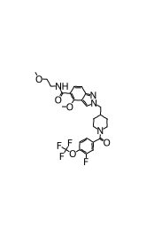 COCCNC(=O)c1ccc2nn(CC3CCN(C(=O)c4ccc(OC(F)(F)F)c(F)c4)CC3)cc2c1OC